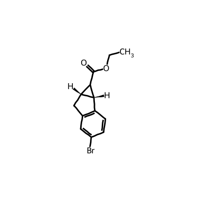 CCOC(=O)C1[C@H]2Cc3cc(Br)ccc3[C@@H]12